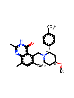 CCO[C@H]1CCN(Cc2c(OC)cc(C)c3nc(C)[nH]c(=O)c23)[C@H](c2ccc(C(=O)O)cc2)C1